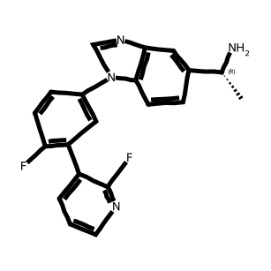 C[C@@H](N)c1ccc2c(c1)ncn2-c1ccc(F)c(-c2cccnc2F)c1